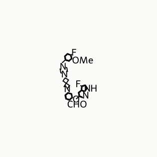 COc1cc(CN2CCN(C3CC4(C3)CN(c3ccc(C=O)c(Oc5cnc6[nH]cc(F)c6c5)c3)C4)CC2)ccc1F